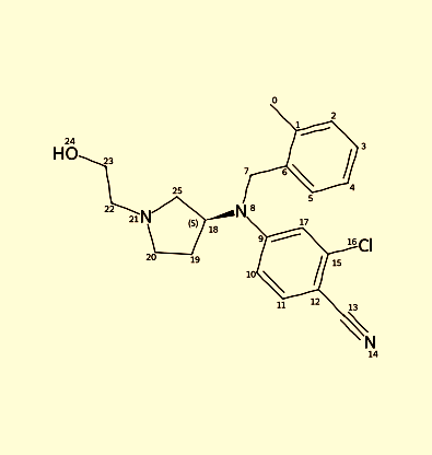 Cc1ccccc1CN(c1ccc(C#N)c(Cl)c1)[C@H]1CCN(CCO)C1